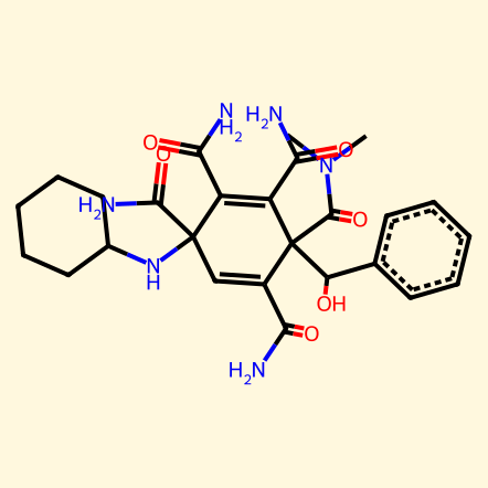 CN(C)C(=O)C1(C(O)c2ccccc2)C(C(N)=O)=CC(NC2CCCCC2)(C(N)=O)C(C(N)=O)=C1C(N)=O